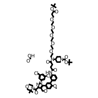 COc1cc2c(cc1-c1cccc(NC(=O)CCC(=O)N(CCOCCOCCOCCOCCOCCC(=O)OC(C)(C)C)C3CCN(C(=O)OC(C)(C)C)CC3)c1)-c1c(c(C(=O)N3CCOCC3(C)C)nn1-c1cc(Cl)cc(Cl)c1)CO2.O=CO